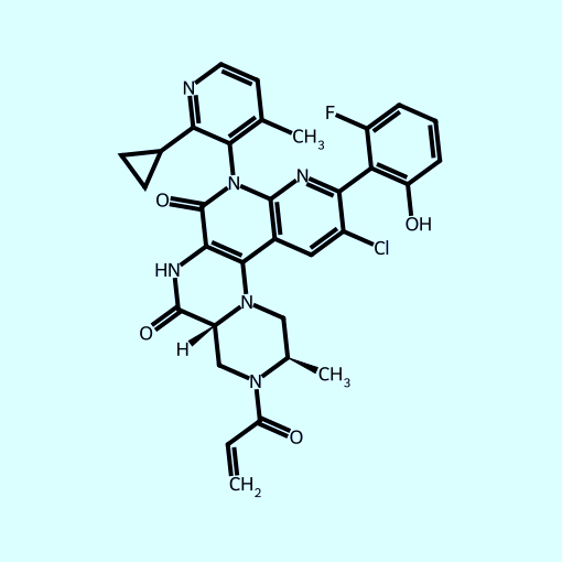 C=CC(=O)N1C[C@@H]2C(=O)Nc3c(c4cc(Cl)c(-c5c(O)cccc5F)nc4n(-c4c(C)ccnc4C4CC4)c3=O)N2C[C@H]1C